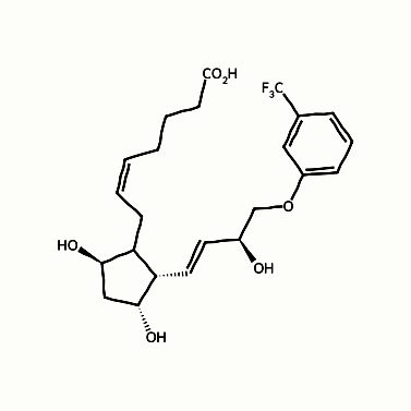 O=C(O)CCC/C=C\CC1[C@H](O)C[C@@H](O)[C@H]1/C=C/[C@H](O)COc1cccc(C(F)(F)F)c1